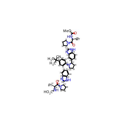 COC(=O)N[C@H](C(=O)N1CCC[C@H]1c1nc2cc(C3CC[C@H](c4ccc5nc([C@@H]6CCCN6C(=O)[C@@H](NC(=O)O)C(C)C)[nH]c5c4)N3c3ccc(C(C)(C)C#N)cc3)ccc2[nH]1)C(C)C